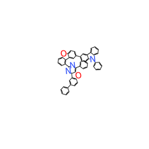 c1ccc(-c2ccc3oc4c(-c5ccccc5)nc(-c5cccc6oc7ccc(-c8ccc9c(c8)c8ccccc8n9-c8ccccc8)cc7c56)nc4c3c2)cc1